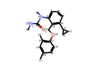 CNC(=O)N(C)c1cccc(C2CC2)c1COc1ccc(C)cc1C